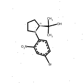 CC(C)(O)[C@@H]1CCCN1c1ccc(Br)cc1[N+](=O)[O-]